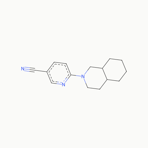 N#Cc1ccc(N2CCC3CCCCC3C2)nc1